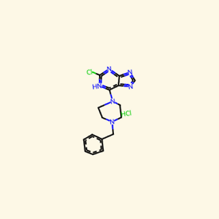 Cl.Clc1nc2ncnc-2c(N2CCN(Cc3ccccc3)CC2)[nH]1